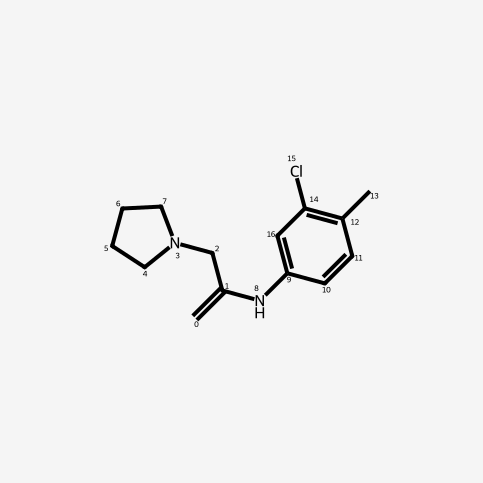 C=C(CN1CCCC1)Nc1ccc(C)c(Cl)c1